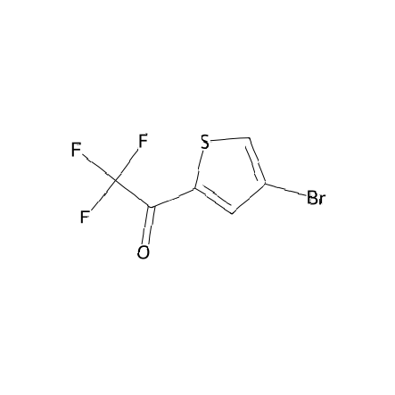 O=C(c1cc(Br)cs1)C(F)(F)F